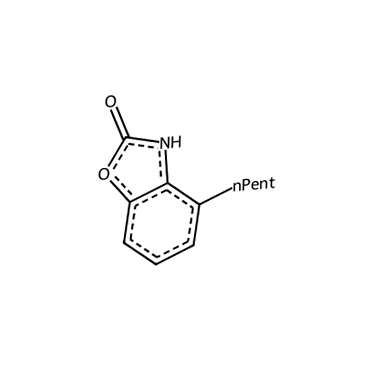 CCCCCc1cccc2oc(=O)[nH]c12